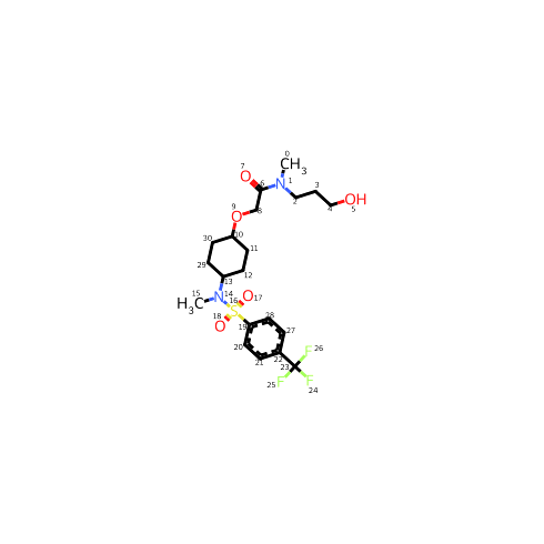 CN(CCCO)C(=O)COC1CCC(N(C)S(=O)(=O)c2ccc(C(F)(F)F)cc2)CC1